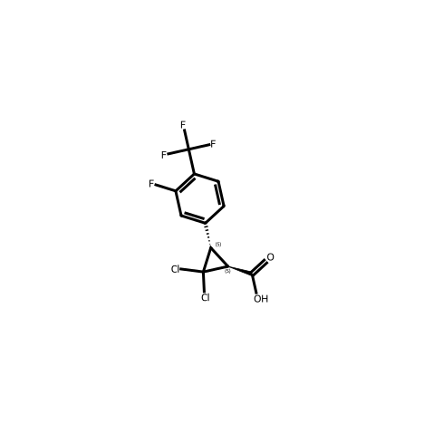 O=C(O)[C@@H]1[C@@H](c2ccc(C(F)(F)F)c(F)c2)C1(Cl)Cl